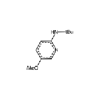 COc1ccc(NC(C)(C)C)nc1